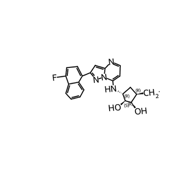 [CH2][C@@H]1C[C@@H](Nc2ccnc3cc(-c4ccc(F)c5ccccc45)nn23)[C@H](O)[C@@H]1O